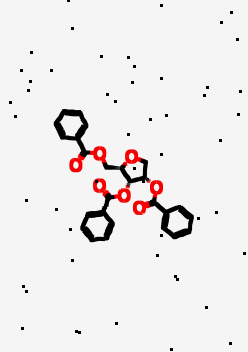 O=C(OC[C@H]1OC[C@H](OC(=O)c2ccccc2)[C@@H]1OC(=O)c1ccccc1)c1ccccc1